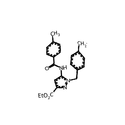 [CH2]c1ccc(Cn2nc(C(=O)OCC)cc2NC(=O)c2ccc(C)cc2)cc1